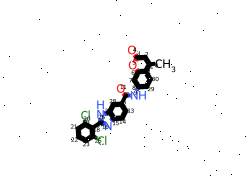 Cc1cc(=O)oc2cc(NC(=O)c3ccc4nc(-c5c(Cl)cccc5Cl)[nH]c4c3)ccc12